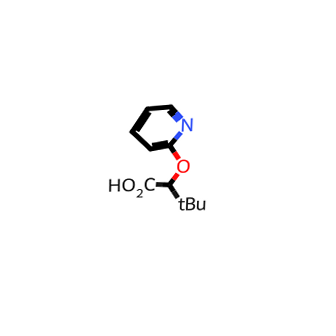 CC(C)(C)C(Oc1ccccn1)C(=O)O